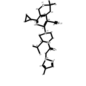 Cc1cnn(CC(=O)N2CCN(c3nc(C4CC4)c4c(c3C#N)CC(C)(C)OC4)CC2C(C)C)c1